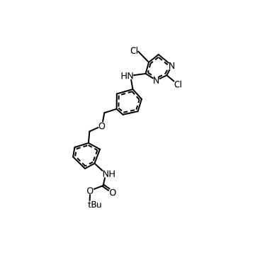 CC(C)(C)OC(=O)Nc1cccc(COCc2cccc(Nc3nc(Cl)ncc3Cl)c2)c1